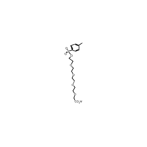 Cc1ccc(S(=O)(=O)OCCOCCOCCOCCOCC(=O)O)cc1